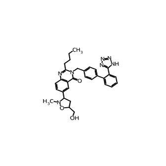 CCCCc1nc2ccc(C3CC(CO)ON3C)cc2c(=O)n1Cc1ccc(-c2ccccc2-c2nnn[nH]2)cc1